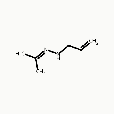 C=CCNN=C(C)C